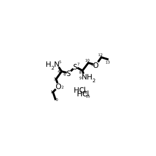 CCOCC(N)SSC(N)COCC.Cl.Cl